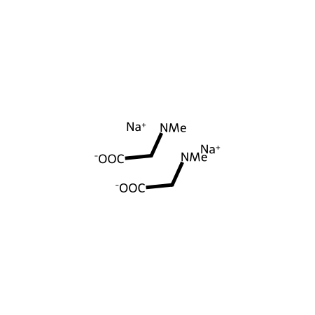 CNCC(=O)[O-].CNCC(=O)[O-].[Na+].[Na+]